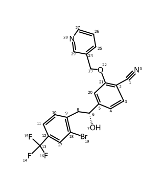 N#Cc1ccc([C@H](O)Cc2ccc(C(F)(F)F)cc2Br)cc1OCc1cccnc1